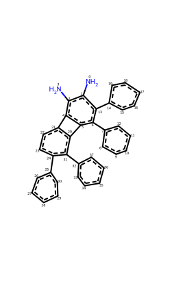 Nc1c(N)c2c(c(-c3ccccc3)c1-c1ccccc1)-c1c-2ccc(-c2ccccc2)c1-c1ccccc1